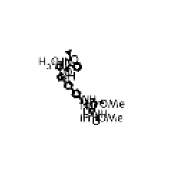 COC[C@H]1C[C@@H](c2ncc(-c3ccc(-c4ccc(-c5ccc([C@@H]6C[C@H](C)CN6C(=O)[C@H](NC(=O)C6CC6)c6ccccc6)[nH]5)cc4)cc3)[nH]2)N(C(=O)C(NC(=O)OC)C(C)C)C1